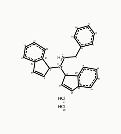 C1=C[CH]([Zr]([SiH2]Cc2ccccc2)[CH]2C=Cc3ccccc32)c2ccccc21.Cl.Cl